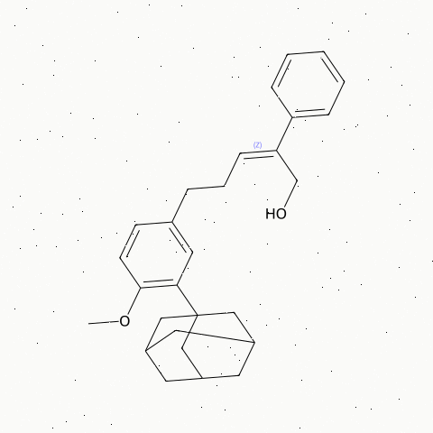 COc1ccc(CC/C=C(\CO)c2ccccc2)cc1C12CC3CC(CC(C3)C1)C2